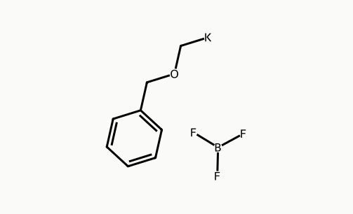 FB(F)F.[K][CH2]OCc1ccccc1